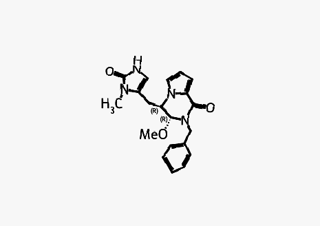 CO[C@@H]1[C@@H](Cc2c[nH]c(=O)n2C)n2cccc2C(=O)N1Cc1ccccc1